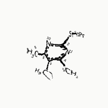 CCCSc1nc(C)c(C)c(C)n1